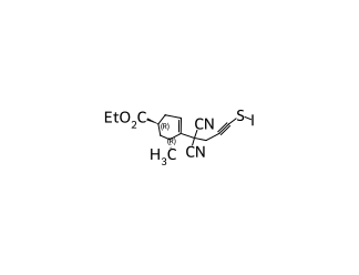 CCOC(=O)[C@H]1CC=C(C(C#N)(C#N)CC#CSI)[C@H](C)C1